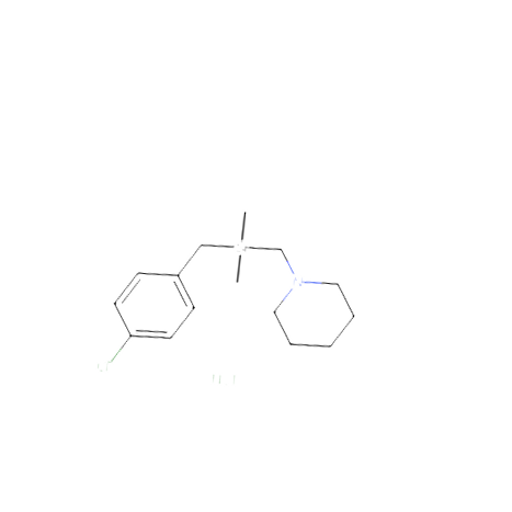 C[Si](C)(Cc1ccc(Cl)cc1)CN1CCCCC1.Cl